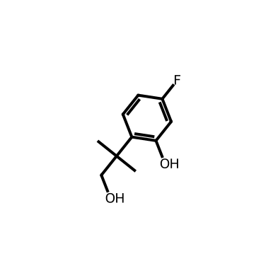 CC(C)(CO)c1ccc(F)cc1O